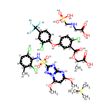 COc1cc(OC)n2nc(S(=O)(=O)Nc3c(Cl)ccc(C)c3Cl)nc2n1.C[C@H](OC(=O)c1cc(Oc2ccc(C(F)(F)F)cc2Cl)ccc1Cl)C(=O)O.C[S+](C)C.O=C(O)CNCP(=O)([O-])O